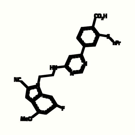 CCCSc1cc(-c2cc(NCCn3c(C#N)cc4c(OC)cc(F)cc43)ncn2)ccc1C(=O)O